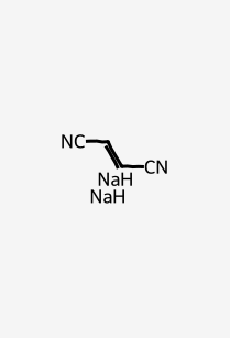 N#CC=CC#N.[NaH].[NaH]